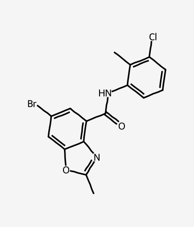 Cc1nc2c(C(=O)Nc3cccc(Cl)c3C)cc(Br)cc2o1